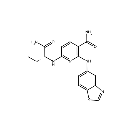 CC[C@@H](Nc1ccc(C(N)=O)c(Nc2ccc3scnc3c2)n1)C(N)=O